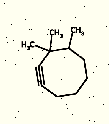 CC1CCCCC#CC1(C)C